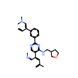 C=C/C(=C\N(C)C)c1cccc(-c2ncc(C(/C=N\C)=C/C(=C)C)c(NCC3CCOC3)n2)c1